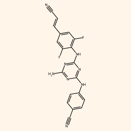 N#CC=Cc1cc(F)c(Nc2nc(N)nc(Nc3ccc(C#N)cc3)n2)c(F)c1